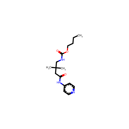 CCCCOC(=O)NCC(C)(C)CC(=O)Nc1ccncc1